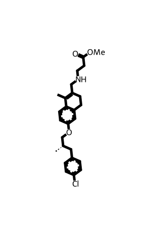 COC(=O)CCNCC1=C(C)c2ccc(OC[C@@H](C)Cc3ccc(Cl)cc3)cc2CC1